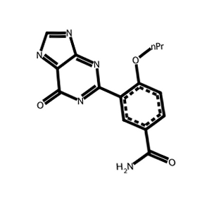 CCCOc1ccc(C(N)=O)cc1C1=NC(=O)C2=NC=NC2=N1